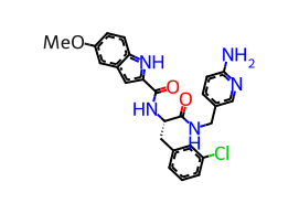 COc1ccc2[nH]c(C(=O)N[C@@H](Cc3cccc(Cl)c3)C(=O)NCc3ccc(N)nc3)cc2c1